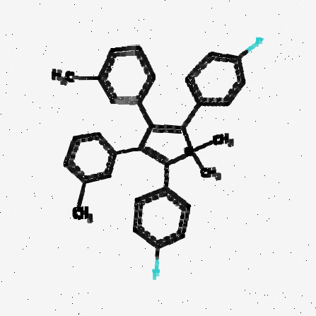 Cc1cccc(C2=C(c3ccc(F)cc3)[Si](C)(C)C(c3ccc(F)cc3)=C2c2cccc(C)c2)c1